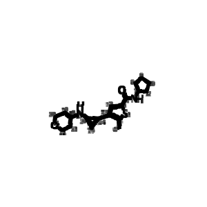 Cc1sc(C(=O)NC2CCCC2)cc1C1CC1NC1CCOCC1